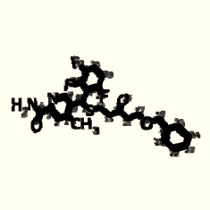 Cc1cc(C(N)=O)ncc1C(SCCC(=O)CCOCc1ccccc1)c1c(F)ccc(F)c1F